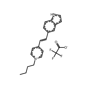 CCCC[n+]1ccc(/C=C/c2ccc3[nH]ccc3c2)cc1.O=C([O-])C(F)(F)F